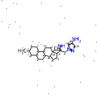 CC1CCC2C(CCC3C2CCC2(C)C(C(=N)Cn4cc(N)cn4)CCC32)C1